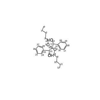 CCCCCO[Si](OCCCCC)(C(O)c1ccccc1)C(O)c1ccccc1